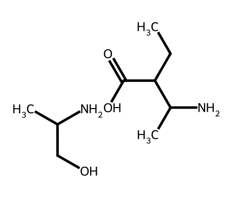 CC(N)CO.CCC(C(=O)O)C(C)N